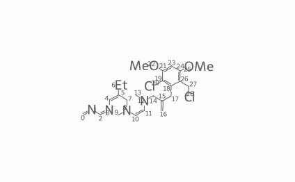 C=N/C=N\C=C(\CC)CN(C)/C=C\N(C)CC(=C)Cc1c(Cl)c(OC)cc(OC)c1CCl